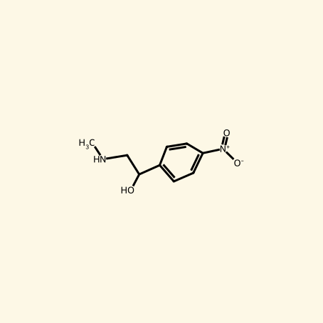 CNCC(O)c1ccc([N+](=O)[O-])cc1